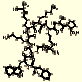 CC[C@H](C)[C@H](NC(=O)[C@H](CCCNC(=N)N)NC(=O)[C@H](CCCCN)NC(=O)[C@H](CCCNC(=N)N)NC(=O)[C@H](CCCCN)NC(=O)[C@H](CCSC)NC(=O)[C@H](Cc1c[nH]c2ccccc12)NC(=O)[C@@H](N)Cc1ccccc1)C(=O)N1CCC[C@H]1C(=O)O